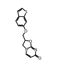 O=c1ccn2c(n1)OC(COc1ccc3ccsc3c1)C2